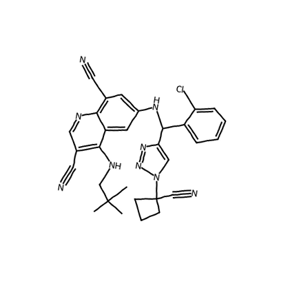 CC(C)(C)CNc1c(C#N)cnc2c(C#N)cc(NC(c3cn(C4(C#N)CCC4)nn3)c3ccccc3Cl)cc12